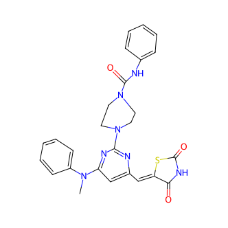 CN(c1ccccc1)c1cc(/C=C2\SC(=O)NC2=O)nc(N2CCN(C(=O)Nc3ccccc3)CC2)n1